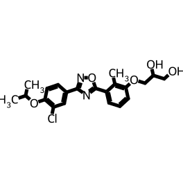 Cc1c(OCC(O)CO)cccc1-c1nc(-c2ccc(OC(C)C)c(Cl)c2)no1